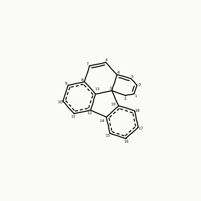 C1=CCC23C(=C1)C=Cc1cccc(c12)-c1ccccc13